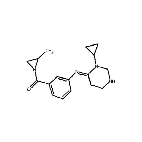 CC1CN1C(=O)c1cccc(N=C2CCNCN2C2CC2)c1